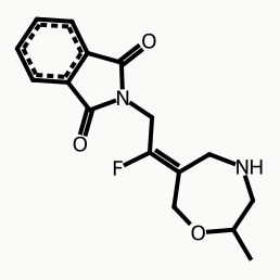 CC1CNCC(=C(F)CN2C(=O)c3ccccc3C2=O)CO1